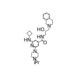 CC(C)N1CCN(c2cc(C(=O)NC[C@H](O)CN3CCc4ccccc4C3)cc(NC3CCC3)n2)CC1